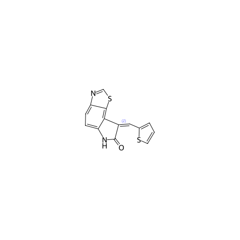 O=C1Nc2ccc3ncsc3c2/C1=C/c1cccs1